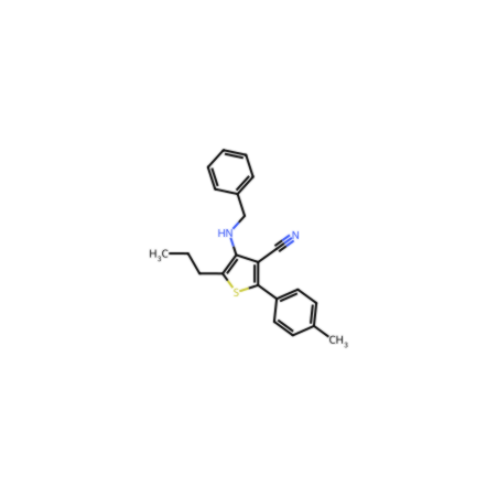 CCCc1sc(-c2ccc(C)cc2)c(C#N)c1NCc1ccccc1